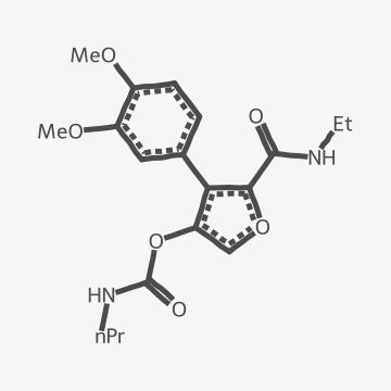 CCCNC(=O)Oc1coc(C(=O)NCC)c1-c1ccc(OC)c(OC)c1